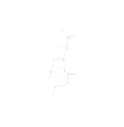 CC12CC3(C)CC(C)(C1)CC(C(C)(C)C(N)=O)(C2)C3